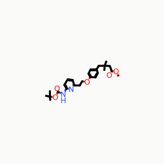 COC(=O)CC(C)(C)Cc1ccc(OCCc2cccc(NC(=O)OC(C)(C)C)n2)cc1